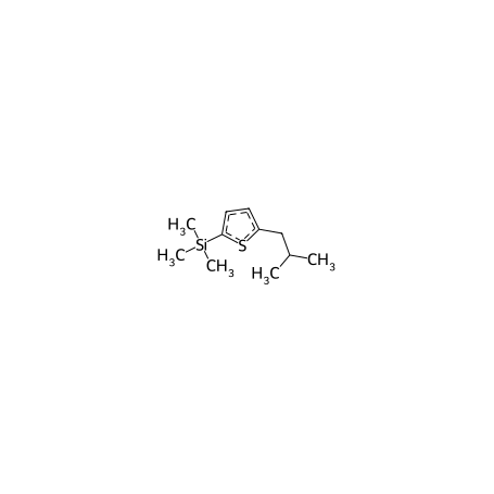 CC(C)Cc1ccc([Si](C)(C)C)s1